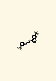 O=[N+]([O-])c1cccc(CCCNc2ccnc3cc(C(F)(F)F)ccc23)c1